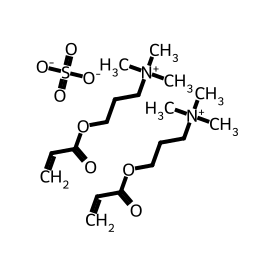 C=CC(=O)OCCC[N+](C)(C)C.C=CC(=O)OCCC[N+](C)(C)C.O=S(=O)([O-])[O-]